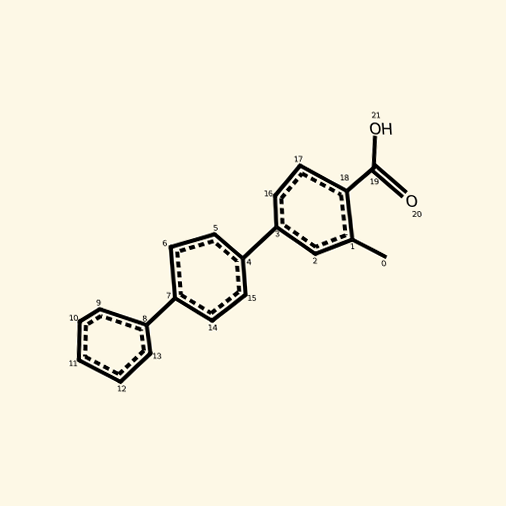 Cc1cc(-c2ccc(-c3ccccc3)cc2)ccc1C(=O)O